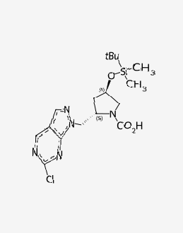 CC(C)(C)[Si](C)(C)O[C@@H]1C[C@@H](Cn2ncc3cnc(Cl)nc32)N(C(=O)O)C1